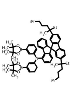 CCC(C)(CCCC(C)C)c1ccc2c(c1)C1(c3cc(C(C)(CC)CCCC(C)C)ccc3-2)c2ccccc2-c2c(N(C3=CC(B4OC(C)(C)C(C)(C)O4)=CCC3)c3cccc(B4OC(C)(C)C(C)(C)O4)c3)cccc21